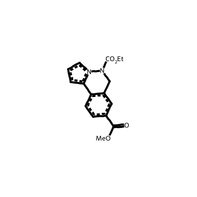 CCOC(=O)N1Cc2cc(C(=O)OC)ccc2-c2cccn21